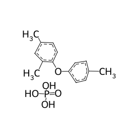 Cc1ccc(Oc2ccc(C)cc2C)cc1.O=P(O)(O)O